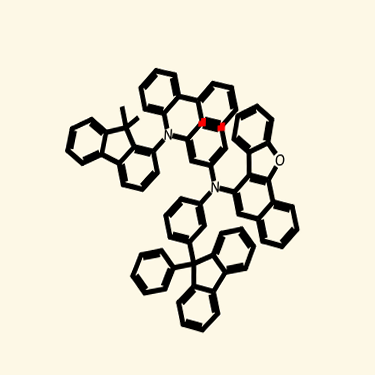 CC1(C)c2ccccc2-c2cccc(N(c3cccc(N(c4cccc(C5(c6ccccc6)c6ccccc6-c6ccccc65)c4)c4cc5ccccc5c5oc6ccccc6c45)c3)c3ccccc3-c3ccccc3)c21